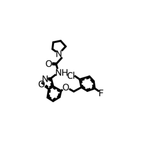 O=C(CN1CCCC1)Nc1noc2cccc(OCc3cc(F)ccc3Cl)c12